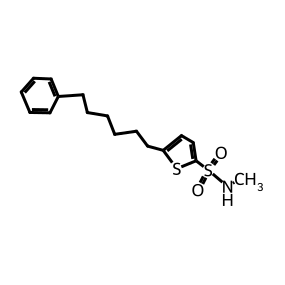 CNS(=O)(=O)c1ccc(CCCCCCc2ccccc2)s1